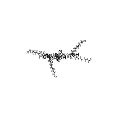 CCCCCCCCCCCCN(CCCC[C@H]1NC(=O)[C@@H](CCCCN(C[C@H](O)CCCCCCCCCC)C[C@H](O)CCCCCCCCCC)NC1=O)C[C@H](O)CCCCCCCCCC